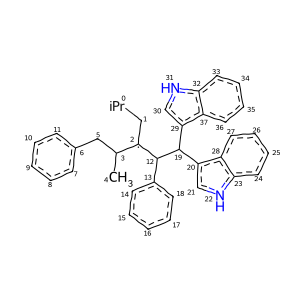 CC(C)C[C](C(C)Cc1ccccc1)C(c1ccccc1)C(c1c[nH]c2ccccc12)c1c[nH]c2ccccc12